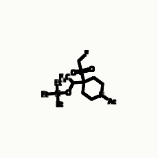 CC[Si](CC)(CC)OC(C(F)(F)F)C1(S(=O)(=O)CF)CCN(C(C)=O)CC1